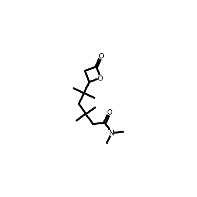 CN(C)C(=O)CC(C)(C)CC(C)(C)C1CC(=O)O1